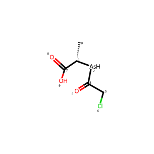 C[C@H]([AsH]C(=O)CCl)C(=O)O